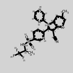 Cc1cnc2c(C#N)c(-c3ccc(S(=O)(=O)N[C@@H](C)C(F)(F)F)cn3)n(-c3cnccn3)c2c1